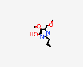 C=CCc1nc(O)c(OC)c(COC)n1